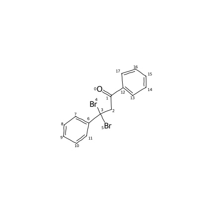 O=C(CC(Br)(Br)c1ccccc1)c1ccccc1